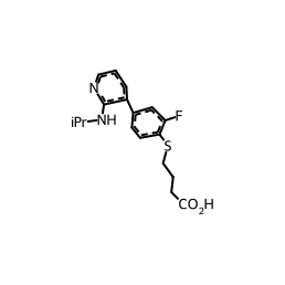 CC(C)Nc1ncccc1-c1ccc(SCCCC(=O)O)c(F)c1